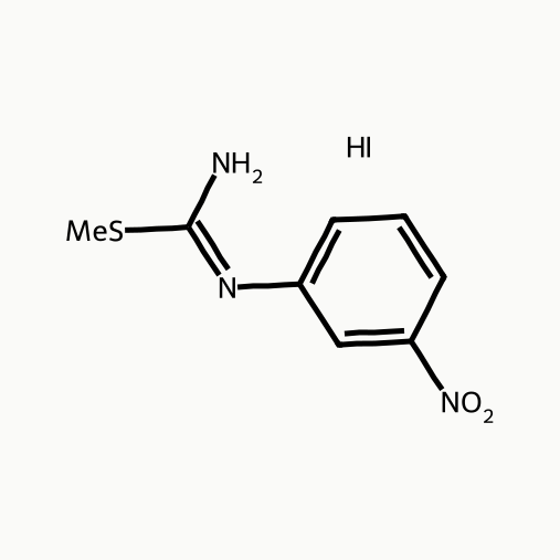 CSC(N)=Nc1cccc([N+](=O)[O-])c1.I